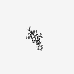 O=S(=O)(c1cc(Nc2cc(C3CC3)[nH]n2)ccc1-c1cnc(C2CCCCC2)s1)C1CC1